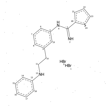 Br.Br.N=C(Nc1cccc(CCNc2ccccc2)c1)c1cccs1